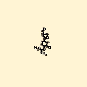 CC(C)Oc1ccc(-c2cc(C=O)no2)cc1Cl